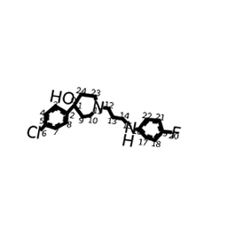 OC1(c2ccc(Cl)cc2)CCN(CCCNc2ccc(F)cc2)CC1